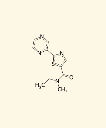 CCN(C)C(=O)c1cnc(-c2cnccn2)s1